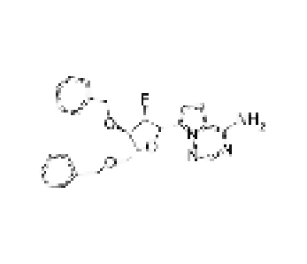 Nc1ncnn2c([C@@H]3O[C@H](COCc4ccccc4)[C@@H](OCc4ccccc4)[C@H]3F)ccc12